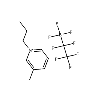 CCC[n+]1cccc(C)c1.F[B-](F)(F)C(F)(F)C(F)(F)F